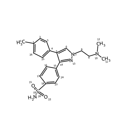 Cc1ccc(-c2cn(CCN(C)C)nc2-c2ccc(S(N)(=O)=O)cc2)cc1